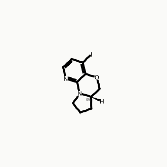 Ic1ccnc2c1OC[C@@H]1C[CH]CN21